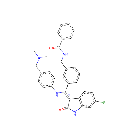 CN(C)Cc1ccc(N/C(=C2\C(=O)Nc3cc(F)ccc32)c2cccc(CNC(=O)c3ccccc3)c2)cc1